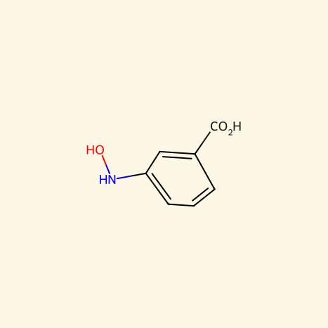 O=C(O)c1cccc(NO)c1